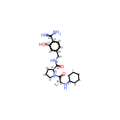 C[C@@H](NC1CCCCC1)C(=O)N1CCC[C@H]1C(=O)NCc1ccc(C(=N)N)c(O)c1